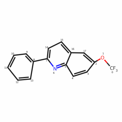 FC(F)(F)Oc1ccc2nc(-c3ccccc3)ccc2c1